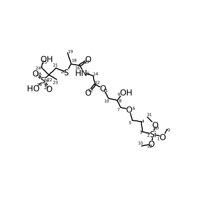 CO[Si](CCCOCC(O)COC(=O)CNC(=O)C(C)SCC(C)(CO)S(=O)(=O)O)(OC)OC